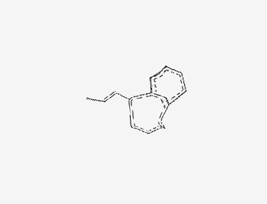 C/C=C/c1ccnc2ccccc12